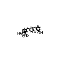 CSC[C@H](Cc1ccc(O)c([SH](=O)=O)c1)/N=C\COc1ccccc1O